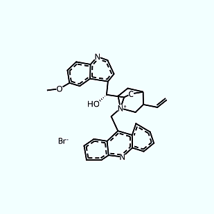 C=CC1C[N+]2(Cc3c4ccccc4nc4ccccc34)CCC1CC2[C@H](O)c1ccnc2ccc(OC)cc12.[Br-]